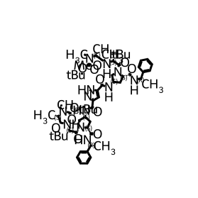 COC(C)(N[C@H](C(=O)N1C[C@@H](NC(=O)c2cc(C(=O)N[C@H]3C[C@@H](C(=O)N[C@H](C)c4ccccc4)N(C(=O)[C@@H](NC(=O)[C@H](C)N(C)C(=O)OC(C)(C)C)C(C)(C)C)C3)n[nH]2)C[C@H]1C(=O)N[C@H](C)c1ccccc1)C(C)(C)C)[C@H](C)N(C)C(=O)OC(C)(C)C